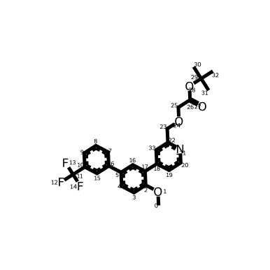 COc1ccc(-c2cccc(C(F)(F)F)c2)cc1-c1ccnc(COCC(=O)OC(C)(C)C)c1